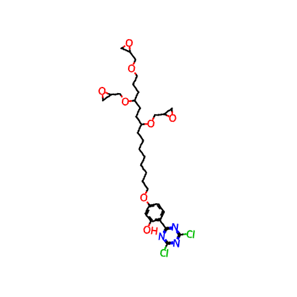 Oc1cc(OCCCCCCCCC(CCC(CCCOCC2CO2)OCC2CO2)OCC2CO2)ccc1-c1nc(Cl)nc(Cl)n1